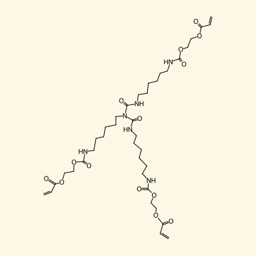 C=CC(=O)OCCOC(=O)NCCCCCCNC(=O)N(CCCCCCNC(=O)OCCOC(=O)C=C)C(=O)NCCCCCCNC(=O)OCCOC(=O)C=C